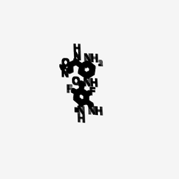 CNc1cc(F)c(C(=O)Nc2ccc(N)c(C(=N)c3cnco3)c2)c(F)c1C=N